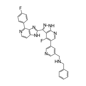 Fc1ccc(-c2nccc3[nH]c(-c4n[nH]c5ncc(-c6cncc(CNCc7ccccc7)c6)c(F)c45)nc23)cc1